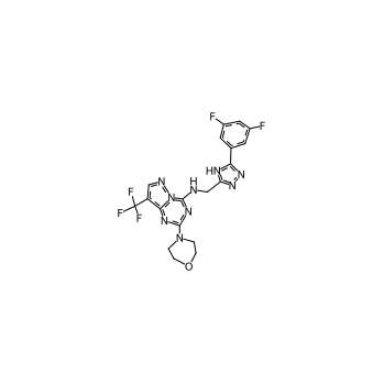 Fc1cc(F)cc(-c2nnc(CNc3nc(N4CCOCC4)nc4c(C(F)(F)F)cnn34)[nH]2)c1